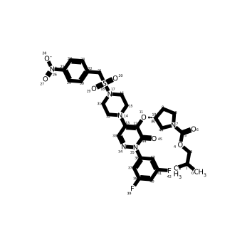 CC(C)COC(=O)N1CC[C@@H](Oc2c(N3CCN(S(=O)(=O)Cc4ccc([N+](=O)[O-])cc4)CC3)cnn(-c3cc(F)cc(F)c3)c2=O)C1